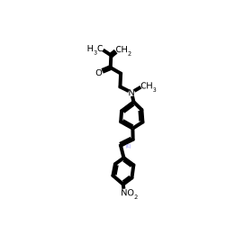 C=C(C)C(=O)CCN(C)c1ccc(/C=C/c2ccc([N+](=O)[O-])cc2)cc1